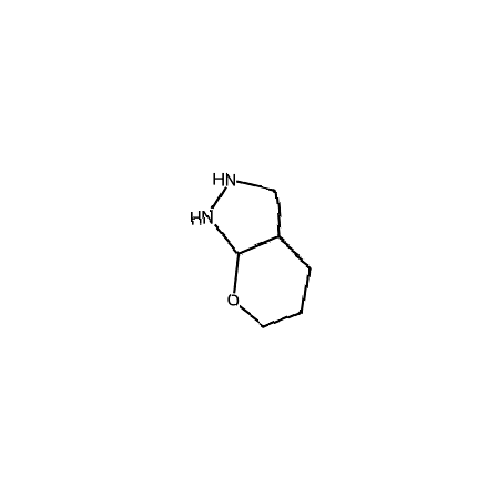 C1COC2NNCC2C1